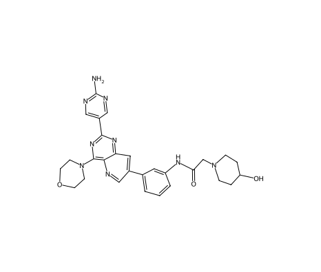 Nc1ncc(-c2nc(N3CCOCC3)c3ncc(-c4cccc(NC(=O)CN5CCC(O)CC5)c4)cc3n2)cn1